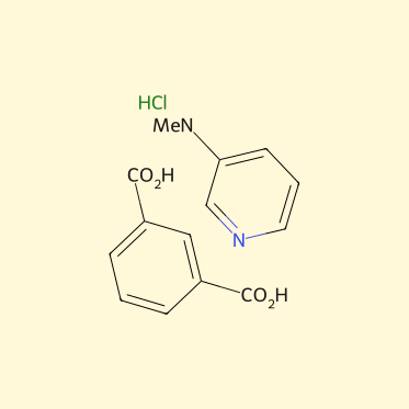 CNc1cccnc1.Cl.O=C(O)c1cccc(C(=O)O)c1